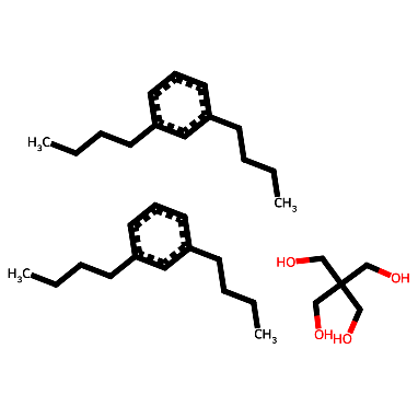 CCCCc1cccc(CCCC)c1.CCCCc1cccc(CCCC)c1.OCC(CO)(CO)CO